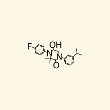 CC(C)c1cccc(N2CC(O)N(c3ccc(F)cc3)C(C)(C)C2=O)c1